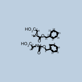 CC(NC(=O)OCc1ccccc1)C(=O)O.CN(CC(=O)O)C(=O)OCc1ccccc1